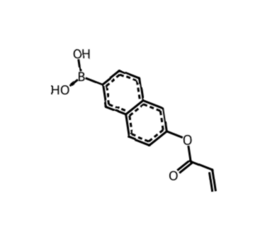 C=CC(=O)Oc1ccc2cc(B(O)O)ccc2c1